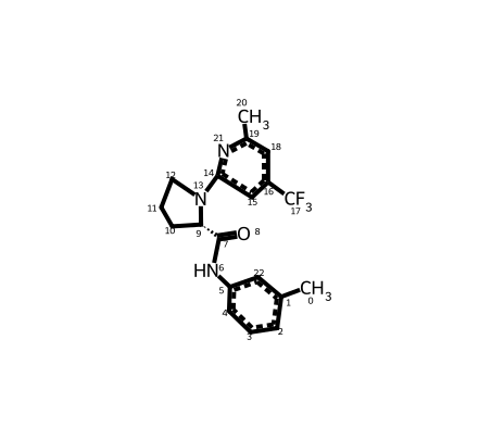 Cc1cccc(NC(=O)[C@@H]2CCCN2c2cc(C(F)(F)F)cc(C)n2)c1